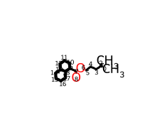 CC(C)CCCOC(=O)c1cccc2[c]cccc12